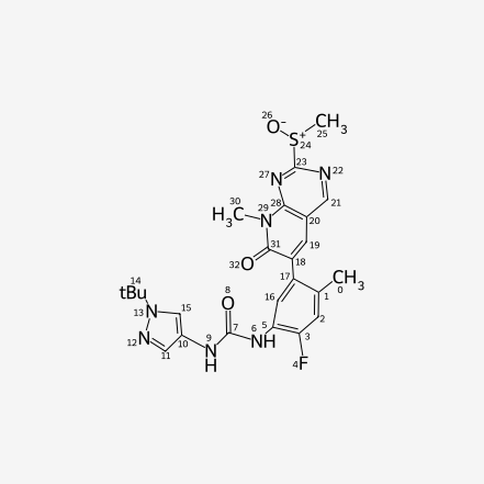 Cc1cc(F)c(NC(=O)Nc2cnn(C(C)(C)C)c2)cc1-c1cc2cnc([S+](C)[O-])nc2n(C)c1=O